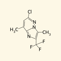 Cc1cc(Cl)nn2c(C)c(C(F)(F)F)nc12